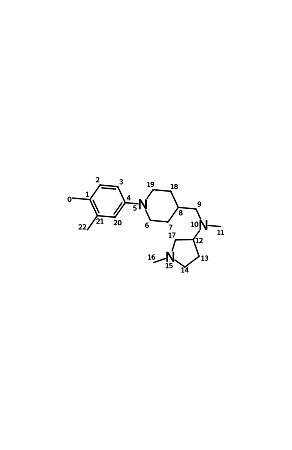 Cc1ccc(N2CCC(CN(C)C3CCN(C)C3)CC2)cc1C